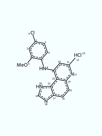 COc1cc(Cl)ccc1Nc1cc(C)nc2ccc3nc[nH]c3c12.Cl